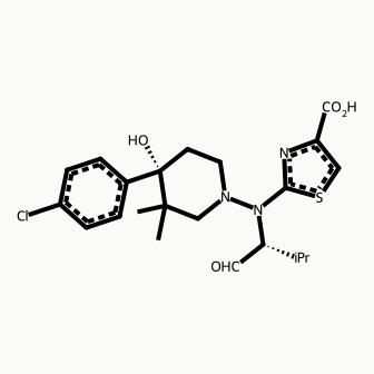 CC(C)[C@H](C=O)N(c1nc(C(=O)O)cs1)N1CC[C@](O)(c2ccc(Cl)cc2)C(C)(C)C1